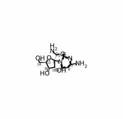 CC(N)[C@@]1(n2ccc(N)nc2=O)O[C@H](CO)[C@@H](O)[C@H]1O